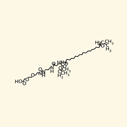 CC(C)(C)OC(=O)CCCCCCCCCCCCCCCCC(=O)NC(CCC(=O)NCCCNC(=O)NCCOCCOCC(=O)O)C(=O)OC(C)(C)C